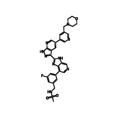 CS(=O)(=O)NCc1cc(F)cc(-c2cncc3[nH]c(-c4n[nH]c5ncc(-c6cncc(CN7CCOCC7)c6)cc45)nc23)c1